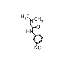 CN(C)CC(=O)Nc1cccc(N=O)c1